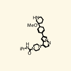 CO[C@@]1(C2C=CC(c3cc4c(N5CCN(C(=O)NC(C)C)CC5)ccnn4c3)=CC2)CCCNC1